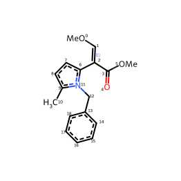 CO/C=C(/C(=O)OC)c1ccc(C)n1Cc1ccccc1